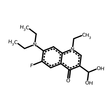 CCN(CC)c1cc2c(cc1F)c(=O)c(C(O)O)cn2CC